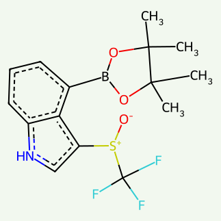 CC1(C)OB(c2cccc3[nH]cc([S+]([O-])C(F)(F)F)c23)OC1(C)C